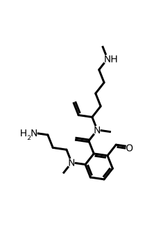 C=CC(CCCCNC)N(C)C(=C)c1c(C=O)cccc1N(C)CCCN